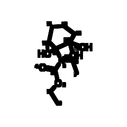 CCOC(=O)N(CC)C1(O)CCCCC1(O)O